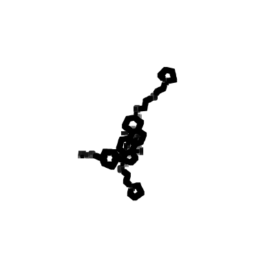 COc1ccc([C@]2(OCCN3CCCC3)CC[C@H]3[C@@H]4CCC5C[C@@H](OCCOCCN6CCCC6)CC[C@]5(C)[C@H]4CC[C@@]32C)cc1